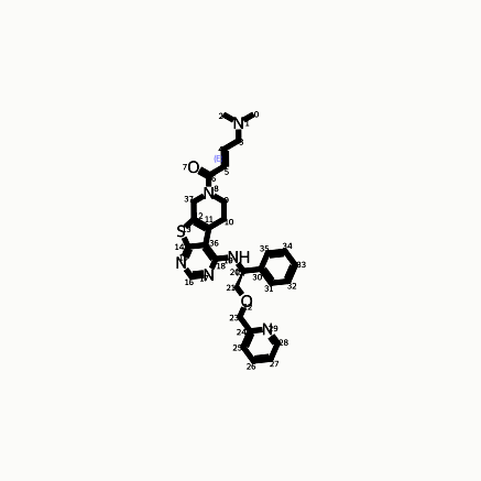 CN(C)C/C=C/C(=O)N1CCc2c(sc3ncnc(N[C@H](COCc4ccccn4)c4ccccc4)c23)C1